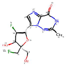 Cc1nn2c([C@@H]3O[C@@](CO)(CF)[C@@H](O)[C@H]3F)cnc2c(=O)[nH]1